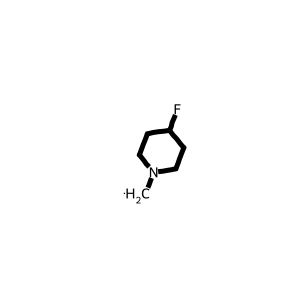 [CH2]N1CCC(F)CC1